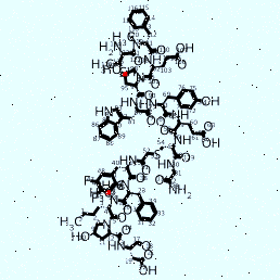 CCCC[C@@H](C(=O)N1C[C@H](O)C[C@@H]1C(=O)N[C@H](C=O)CC(=O)O)N(C)C(=O)[C@H](Cc1ccccc1)N(C)C(=O)[C@H](Cc1ccc(F)c(F)c1)NC(=O)CSC[C@H](NC(=O)[C@H](CCC(=O)O)NC(=O)[C@H](Cc1ccc(O)cc1)NC(=O)[C@H](Cc1c[nH]c2ccccc12)NC(=O)[C@H]1C[C@@H](O)CN1C(=O)[C@H](CCC(=O)O)NC(=O)[C@@H](Cc1ccccc1)N(C)C(=O)[C@@H](N)C(C)C)C(=O)NCC(N)=O